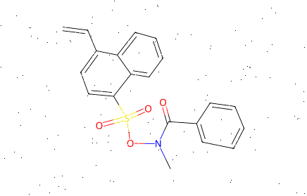 C=Cc1ccc(S(=O)(=O)ON(C)C(=O)c2ccccc2)c2ccccc12